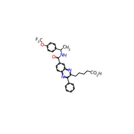 CC(NC(=O)c1ccc2nc(-c3ccccc3)c(CCCCC(=O)O)nc2c1)c1ccc(OC(F)(F)F)cc1